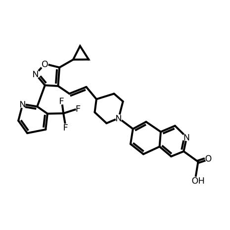 O=C(O)c1cc2ccc(N3CCC(/C=C/c4c(-c5ncccc5C(F)(F)F)noc4C4CC4)CC3)cc2cn1